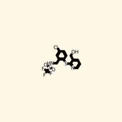 O=S(=O)(NCc1cc(Cl)ccc1Sc1ncccc1CO)C(F)(F)F